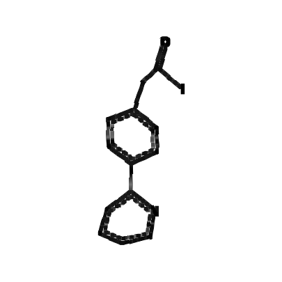 O=C(I)Cc1ccc(-c2ccccn2)cc1